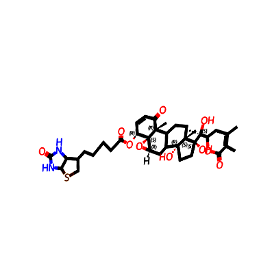 CC1=C(C)C(=O)OC([C@](C)(O)[C@]2(O)CC[C@@]3(O)C4C[C@H]5O[C@]56[C@H](OC(=O)CCCCC5CSC7NC(=O)NC57)C=CC(=O)[C@]6(C)C4CC[C@]23C)C1